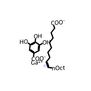 CCCCCCCC/C=C\CCCCCCCC(=O)[O-].O=C([O-])c1cc(O)c(O)c(O)c1.[Ga+2]